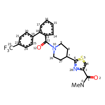 CNC(=O)c1csc(C2CCN(C(=O)c3ccccc3-c3ccc(C(F)(F)F)cc3)CC2)n1